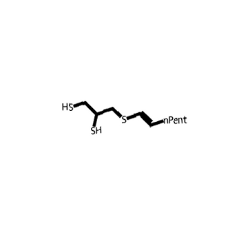 CCCCCC=CSCC(S)CS